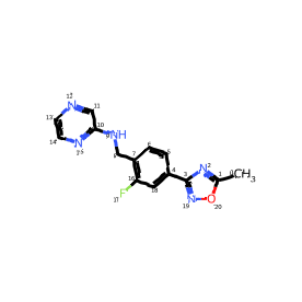 Cc1nc(-c2ccc(CNc3cnccn3)c(F)c2)no1